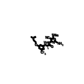 CSc1nc(N)nc(NC(=O)[C@H](C)Nc2cc(OCCN(C)C)cc(C(F)(F)F)c2)c1C#N